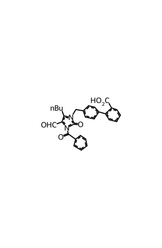 CCCCc1c(C=O)n(C(=O)c2ccccc2)c(=O)n1Cc1ccc(-c2ccccc2C(=O)O)cc1